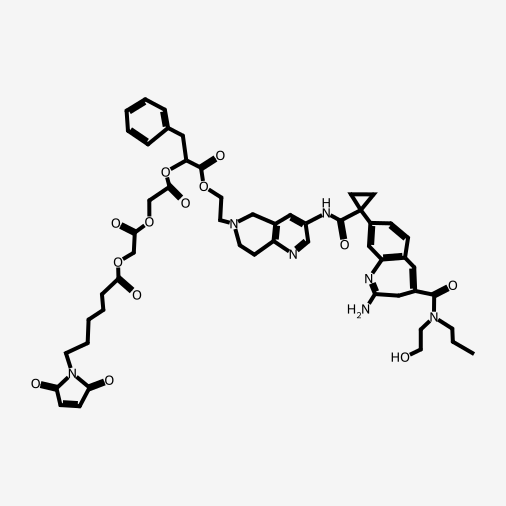 CCCN(CCO)C(=O)C1=Cc2ccc(C3(C(=O)Nc4cnc5c(c4)CN(CCOC(=O)C(Cc4ccccc4)OC(=O)COC(=O)COC(=O)CCCCCN4C(=O)C=CC4=O)CC5)CC3)cc2N=C(N)C1